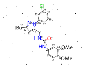 COc1ccc(NC(=O)NCc2cc(C(C)(C)C)nn2-c2cccc(Cl)c2)cc1OC